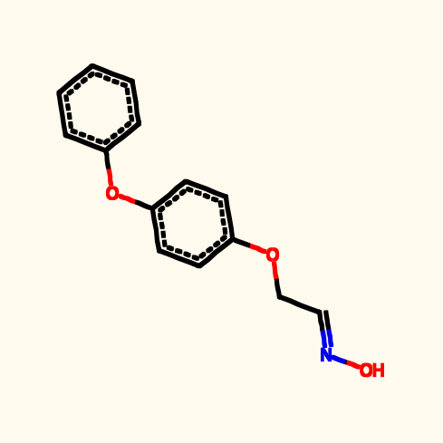 ON=CCOc1ccc(Oc2ccccc2)cc1